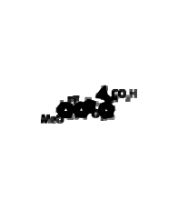 COc1ccc(F)c(-c2ccc3c(c2F)CC[C@H]3Oc2cccc([C@@H](CC(=O)O)C3CC3)c2)c1